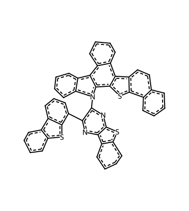 c1ccc2c(c1)ccc1c2sc2c1c1ccccc1c1c3ccccc3n(-c3nc4sc5ccccc5c4nc3-c3cccc4c3sc3ccccc34)c21